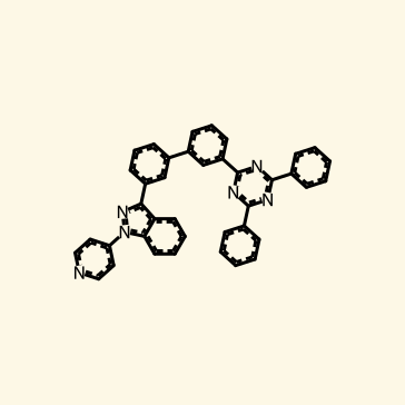 c1ccc(-c2nc(-c3ccccc3)nc(-c3cccc(-c4cccc(-c5nn(-c6ccncc6)c6ccccc56)c4)c3)n2)cc1